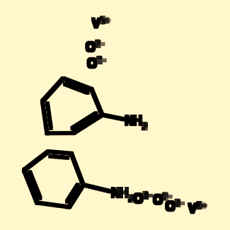 Nc1ccccc1.Nc1ccccc1.[O-2].[O-2].[O-2].[O-2].[O-2].[V+5].[V+5]